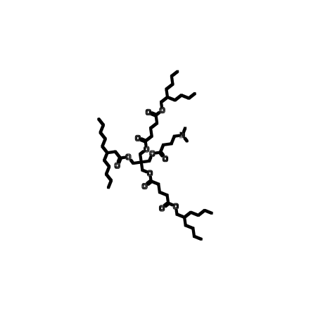 CCCCCC(CCCCC)CC(=O)OCC(COC(=O)CCCC(=O)OCC(CCCC)CCCC)(COC(=O)CCCC(=O)OCC(CCCC)CCCC)COC(=O)CCCN(C)C